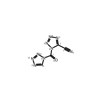 N#Cc1nnnn1C(=O)n1cnnn1